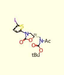 CC(=O)N(C[C@H]1CN(c2ccc(I)s2)C(=O)O1)C(=O)OC(C)(C)C